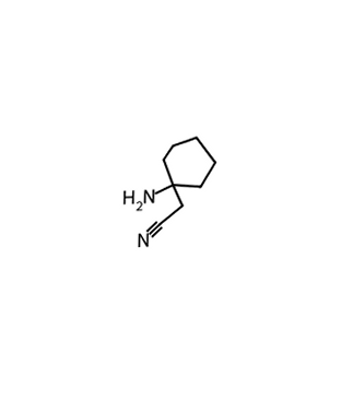 N#CCC1(N)CCCCC1